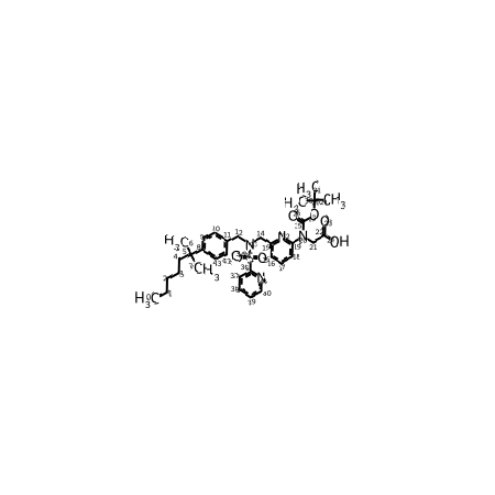 CCCCCC(C)(C)c1ccc(CN(Cc2cccc(N(CC(=O)O)C(=O)OC(C)(C)C)n2)S(=O)(=O)c2ccccn2)cc1